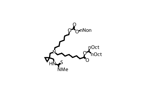 CCCCCCCCCOC(=O)OCCCCCCN(CCCCCCCC(=O)OC(CCCCCCCC)CCCCCCCC)CC1(CNC(=S)NC)CC1